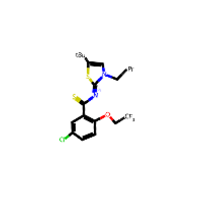 CC(C)Cn1cc(C(C)(C)C)s/c1=N\C(=S)c1cc(Cl)ccc1OCC(F)(F)F